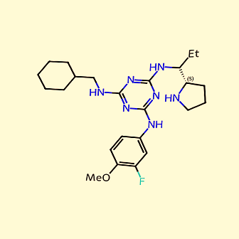 CCC(Nc1nc(NCC2CCCCC2)nc(Nc2ccc(OC)c(F)c2)n1)[C@@H]1CCCN1